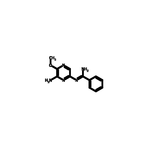 COc1ncc(/N=C(\N)c2ccccc2)nc1N